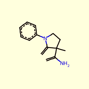 C=C(N)C1(C)CCN(c2ccccc2)C1=C